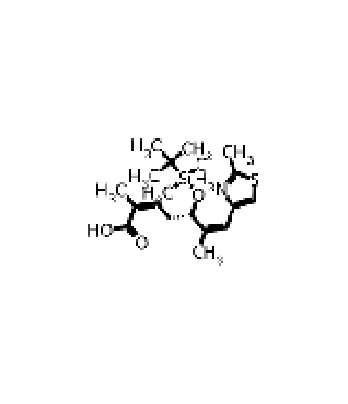 CC(=CC[C@H](O[Si](C)(C)C(C)(C)C)C(C)=Cc1csc(C)n1)C(=O)O